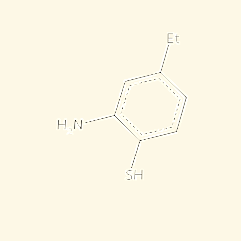 CCc1ccc(S)c(N)c1